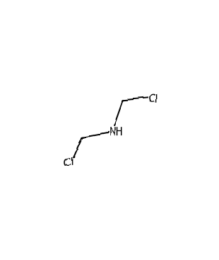 ClCNCCl